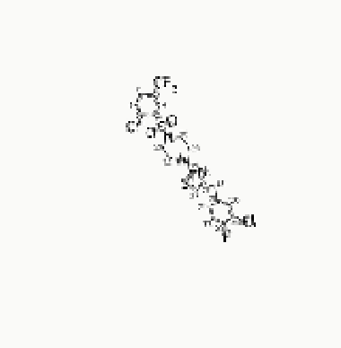 O=S(=O)(c1cc(C(F)(F)F)ccc1Cl)N1CCN(c2nc(Cc3ccc(F)c(Cl)c3)cs2)CC1